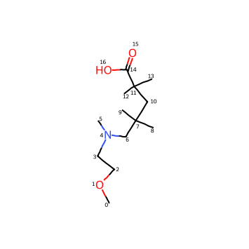 COCCN(C)CC(C)(C)CC(C)(C)C(=O)O